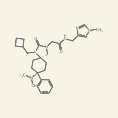 Cn1cnc(CNC(=O)CN2C[C@]3(CC[C@](c4ccccc4)(N(C)C)CC3)N(CC3CCC3)C2=O)c1